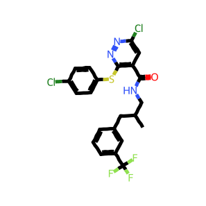 CC(CNC(=O)c1cc(Cl)nnc1Sc1ccc(Cl)cc1)Cc1cccc(C(F)(F)F)c1